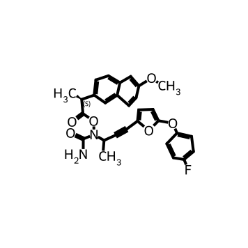 COc1ccc2cc([C@H](C)C(=O)ON(C(N)=O)C(C)C#Cc3ccc(Oc4ccc(F)cc4)o3)ccc2c1